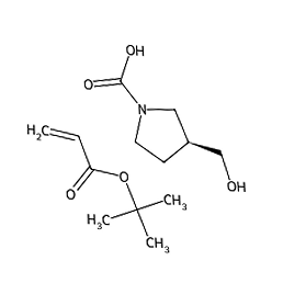 C=CC(=O)OC(C)(C)C.O=C(O)N1CC[C@H](CO)C1